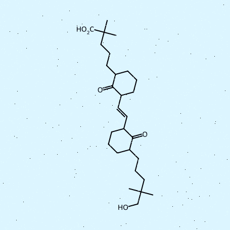 CC(C)(CO)CCCC1CCCC(/C=C/C2CCCC(CCCC(C)(C)C(=O)O)C2=O)C1=O